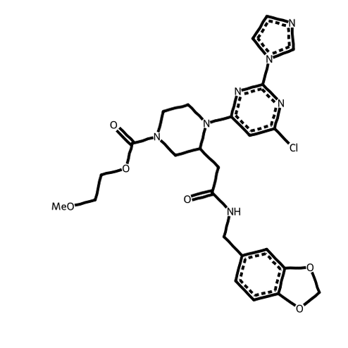 COCCOC(=O)N1CCN(c2cc(Cl)nc(-n3ccnc3)n2)C(CC(=O)NCc2ccc3c(c2)OCO3)C1